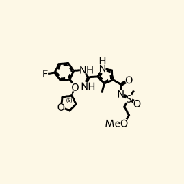 COCCS(C)(=O)=NC(=O)c1c[nH]c(C(=N)Nc2ccc(F)cc2O[C@H]2CCOC2)c1C